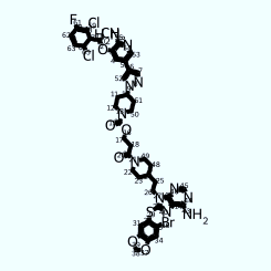 C[C@@H](Oc1cc(-c2cnn(C3CCN(C(=O)OCCC(=O)N4CCC(CCn5c(Sc6cc7c(cc6Br)OCO7)nc6c(N)ncnc65)CC4)CC3)c2)cnc1N)C1C(Cl)=C(F)C=CC1Cl